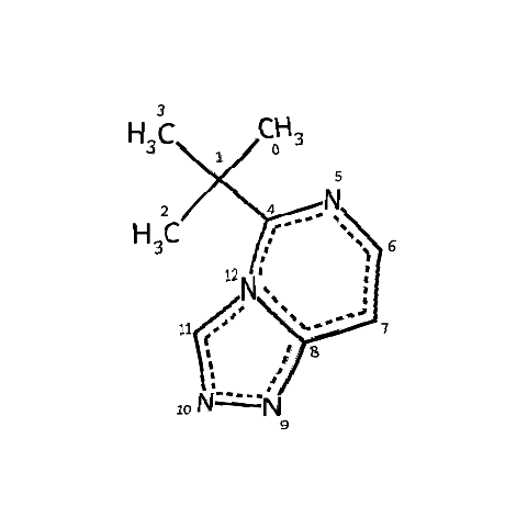 CC(C)(C)c1nccc2nncn12